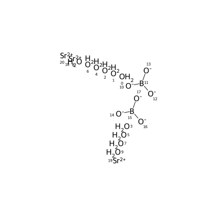 O.O.O.O.O.O.O.O.O.O.[O-]B([O-])[O-].[O-]B([O-])[O-].[Sr+2].[Sr+2].[Sr+2]